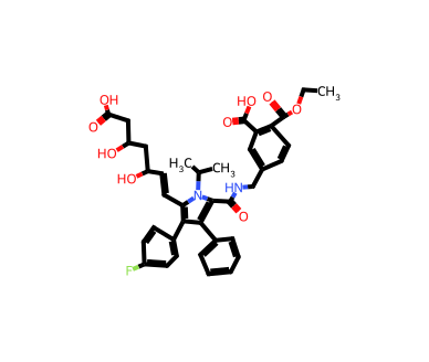 CCOC(=O)c1ccc(CNC(=O)c2c(-c3ccccc3)c(-c3ccc(F)cc3)c(C=CC(O)CC(O)CC(=O)O)n2C(C)C)cc1C(=O)O